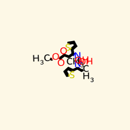 CCC(=NO)c1cccs1.CCOC(=O)C(=O)C(C)C(=NO)c1cccs1